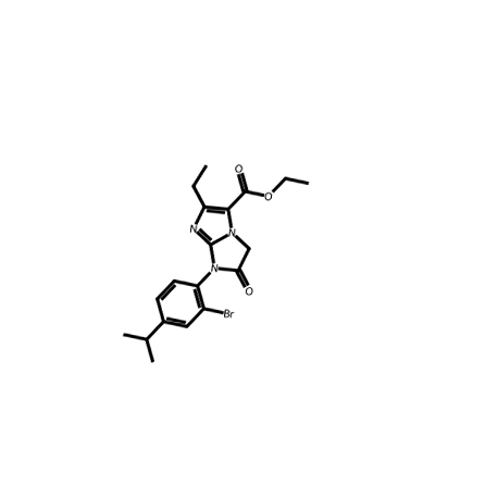 CCOC(=O)c1c(CC)nc2n1CC(=O)N2c1ccc(C(C)C)cc1Br